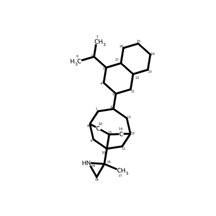 CC(C)C1CC(C2CC3CCCC(C2)CC(C2(C)CN2)C3)CC2CCCCC21